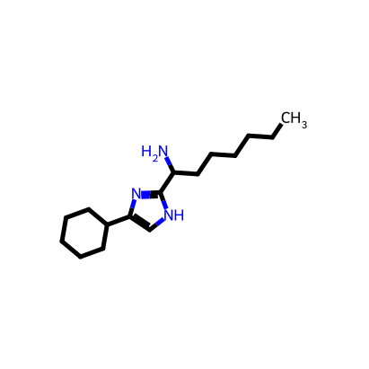 CCCCCCC(N)c1nc(C2CCCCC2)c[nH]1